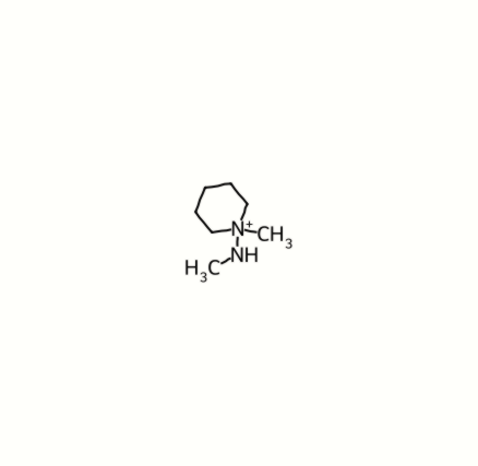 CN[N+]1(C)CCCCC1